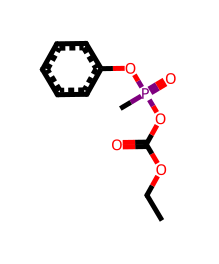 CCOC(=O)OP(C)(=O)Oc1ccccc1